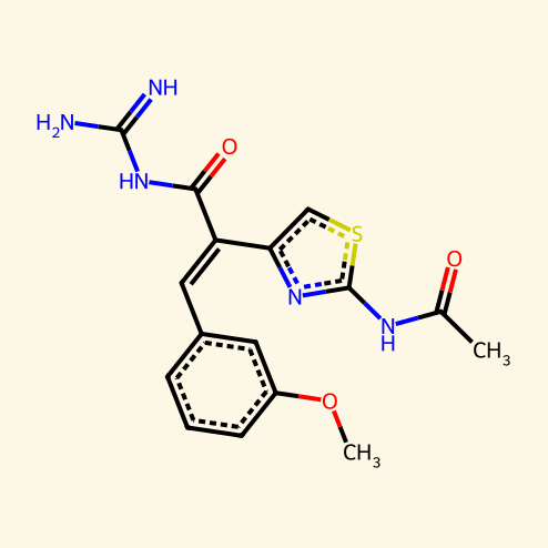 COc1cccc(/C=C(/C(=O)NC(=N)N)c2csc(NC(C)=O)n2)c1